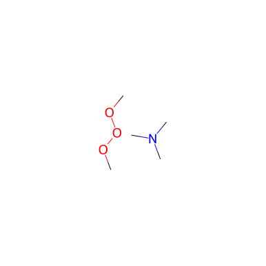 CN(C)C.COOOC